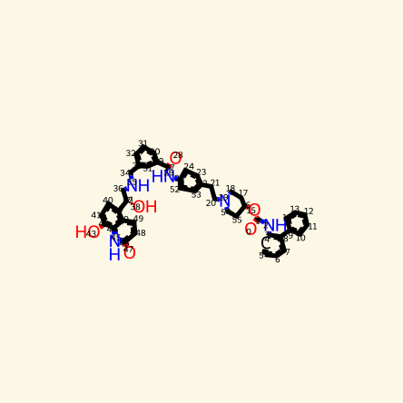 O=C(Nc1ccccc1-c1ccccc1)OC1CCN(CCc2ccc(NC(=O)c3cccc(CNC[C@H](O)c4ccc(O)c5[nH]c(=O)ccc45)c3)cc2)CC1